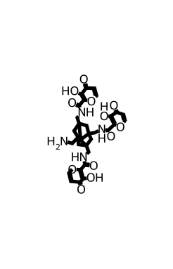 NCC12CC3(CNC(=O)c4occc(=O)c4O)CC(CNC(=O)c4occc(=O)c4O)(C1)CC(CNC(=O)c1occc(=O)c1O)(C2)C3